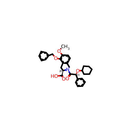 COc1ccc2c(c1OCc1ccccc1)C[C@H](C(=O)O)N(C(=O)[C@@H](OC1CCCCC1)c1ccccc1)C2